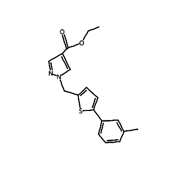 CCOC(=O)c1cnn(Cc2ccc(-c3cccc(C)c3)s2)c1